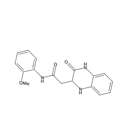 COc1ccccc1NC(=O)CC1Nc2ccccc2NC1=O